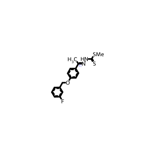 CSC(=S)N/N=C(\C)c1ccc(OCc2cccc(F)c2)cc1